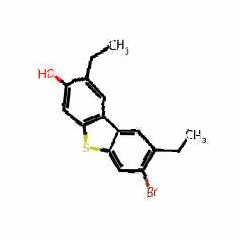 CCc1cc2c(cc1O)sc1cc(Br)c(CC)cc12